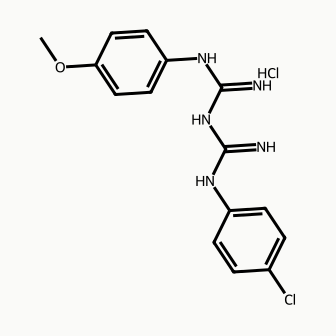 COc1ccc(NC(=N)NC(=N)Nc2ccc(Cl)cc2)cc1.Cl